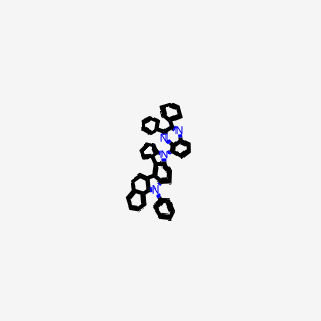 c1ccc(-c2nc3cccc(-n4c5ccccc5c5c6c7c(n(-c8ccccc8)c6ccc54)-c4ccccc4CC7)c3nc2-c2ccccc2)cc1